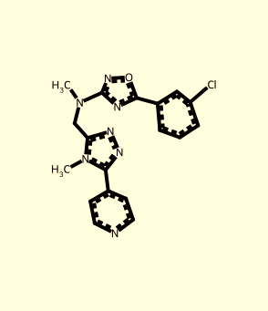 CN(Cc1nnc(-c2ccncc2)n1C)c1noc(-c2cccc(Cl)c2)n1